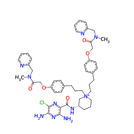 CN(Cc1ccccn1)C(=O)COc1ccc(CCC[N+]2(CCCc3ccc(OCC(=O)N(C)Cc4ccccn4)cc3)CCC[C@H](NC(=O)c3nc(Cl)c(N)nc3N)C2)cc1